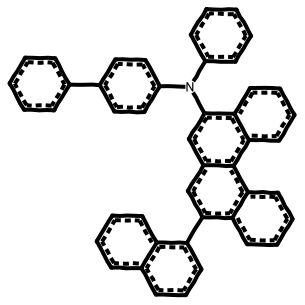 c1ccc(-c2ccc(N(c3ccccc3)c3cc4cc(-c5cccc6ccccc56)c5ccccc5c4c4ccccc34)cc2)cc1